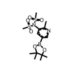 Cc1ncc(B2OC(C)(C)C(C)(C)O2)cc1N(S(C)(=O)=O)S(C)(=O)=O